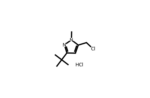 Cl.Cn1nc(C(C)(C)C)cc1CCl